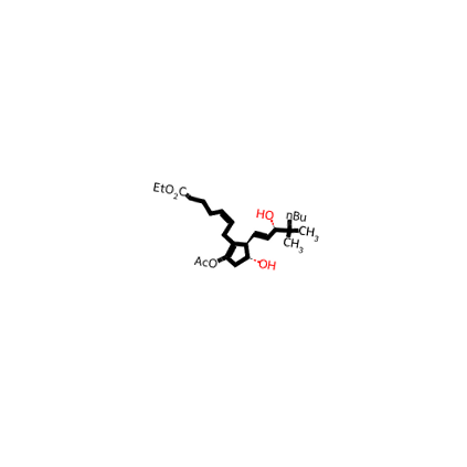 CCCCC(C)(C)[C@@H](O)/C=C/[C@@H]1C(C/C=C\CCCC(=O)OCC)=C(OC(C)=O)C[C@H]1O